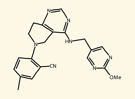 COc1ncc(CNc2ncnc3c2CN(c2ccc(C)cc2C#N)CC3)cn1